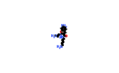 NCCCCCNC(=O)C(Cc1ccc(N)cc1)C(=O)NCCN